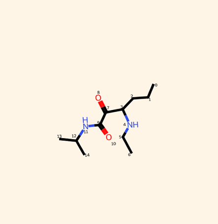 CCCC(NCC)C(=O)C(=O)NC(C)C